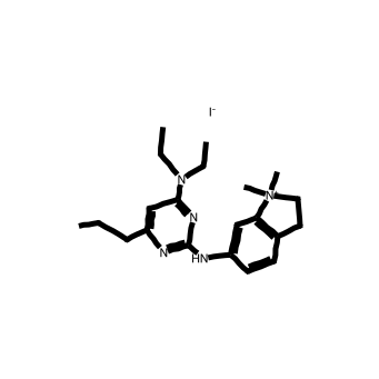 CCCc1cc(N(CC)CC)nc(Nc2ccc3c(c2)[N+](C)(C)CC3)n1.[I-]